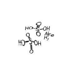 O=S(=O)(O)O.O=S(=O)(O)O.[AlH3].[Fe]